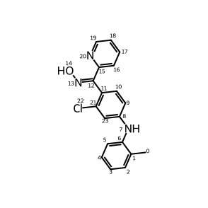 Cc1ccccc1Nc1ccc(C(=NO)c2ccccn2)c(Cl)c1